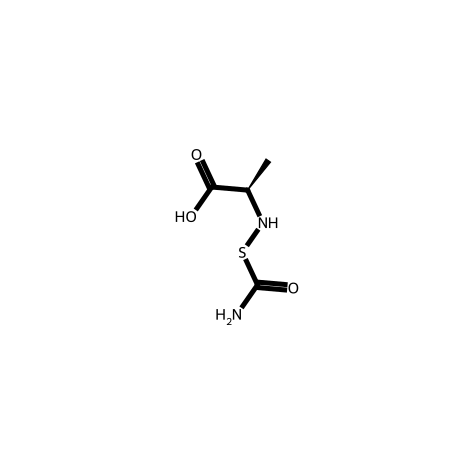 C[C@@H](NSC(N)=O)C(=O)O